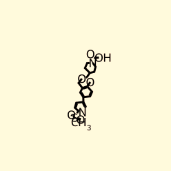 CS(=O)(=O)c1ccc(-c2ccc3c(c2)COC(C2CCN(C(=O)O)CC2)O3)cn1